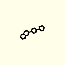 [c]1ccccc1-c1ccc(-c2ccc3ccccc3c2)cc1